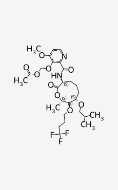 COc1ccnc(C(=O)N[C@H]2CCC[C@H](OCC(C)C)[C@@H](OCCCC(F)(F)F)[C@H](C)OC2=O)c1OCOC(C)=O